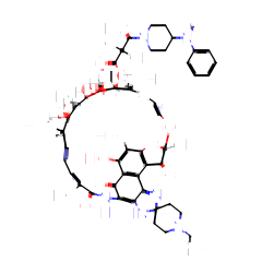 C/C1=C/C=C/[C@H](C)[C@H](O)[C@@H](C)[C@@H](O)[C@@H](C)[C@H](OC(=O)C(C)(C)C(=O)N2CCC(N(C)c3ccccc3)CC2)[C@H](C)C/C=C/O[C@@]2(C)Oc3c(C)c(O)c4c(c3C2=O)C2=NC3(CCN(CC(C)C)CC3)NC2=C(NC1=O)C4=O